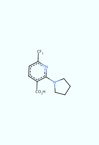 O=C(O)c1ccc(C(F)(F)F)nc1N1CCCC1